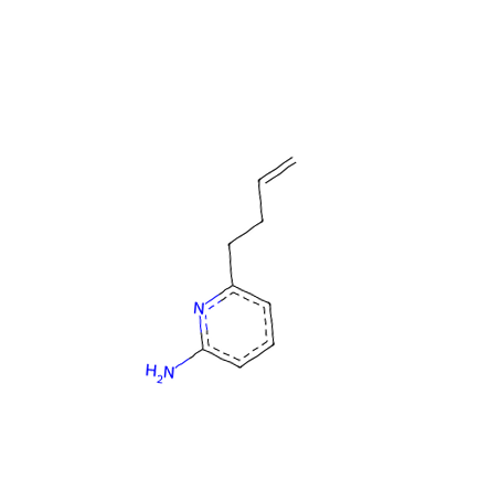 C=CCCc1cccc(N)n1